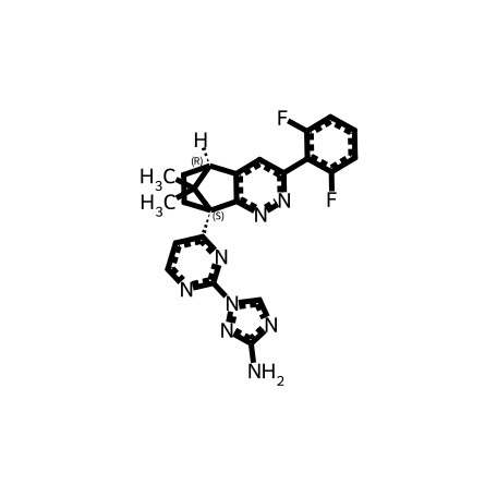 CC1(C)[C@H]2CC[C@]1(c1ccnc(-n3cnc(N)n3)n1)c1nnc(-c3c(F)cccc3F)cc12